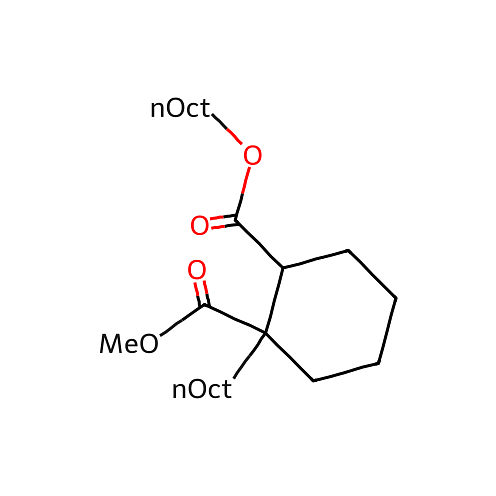 CCCCCCCCOC(=O)C1CCCCC1(CCCCCCCC)C(=O)OC